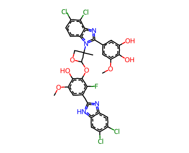 COc1cc(-c2nc3c(Cl)c(Cl)ccc3n2C2(C)COC2Oc2c(O)c(OC)cc(-c3nc4cc(Cl)c(Cl)cc4[nH]3)c2F)cc(O)c1O